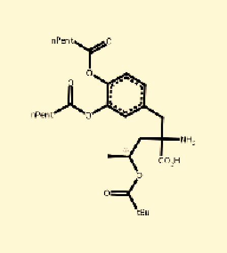 CCCCCC(=O)Oc1ccc(CC(N)(C[C@H](C)OC(=O)C(C)(C)C)C(=O)O)cc1OC(=O)CCCCC